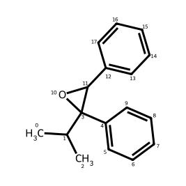 CC(C)C1(c2ccccc2)OC1c1ccccc1